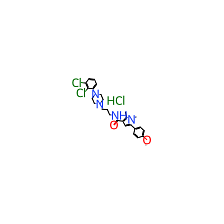 COc1ccc(-c2cc(C(=O)NCCCN3CCN(c4cccc(Cl)c4Cl)CC3)c(C)n2C)cc1.Cl